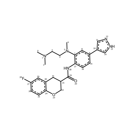 CN(C)CCN(C)c1cc(-c2cn[nH]c2)ccc1NC(=O)C1COc2ccc(F)cc2C1